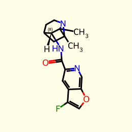 CC1(C)[C@H](NC(=O)c2cc3c(F)coc3cn2)C2CCN1CC2